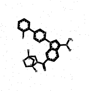 C[S+]([O-])c1cn(-c2ncc(-c3ccccc3F)cn2)c2cc(C(=O)N3C[C@@H]4C[C@H]3CO4)ccc12